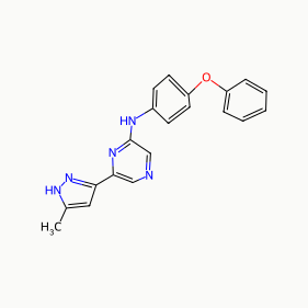 Cc1cc(-c2cncc(Nc3ccc(Oc4ccccc4)cc3)n2)n[nH]1